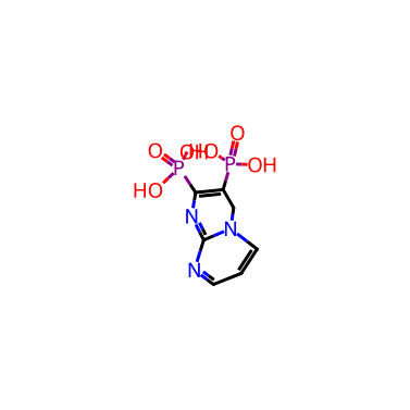 O=P(O)(O)C1=C(P(=O)(O)O)N=C2N=CC=CN2C1